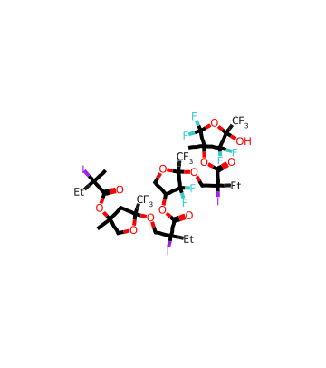 CCC(C)(I)C(=O)OC1(C)COC(OCC(I)(CC)C(=O)OC2COC(OCC(I)(CC)C(=O)OC3(C)C(F)(F)OC(O)(C(F)(F)F)C3(F)F)(C(F)(F)F)C2(F)F)(C(F)(F)F)C1